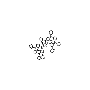 c1ccc(-c2cc3c4c(c2)N(c2ccccc2)c2cccc5c2N4c2c(ccc4c2B3c2sc3c6c2N4c2ccccc2N6c2ccc4c6c2B3c2ccc(-c3ccccc3)c3c2N6c2c(cccc2N3c2ccccc2)N4c2ccccc2)N5c2ccccc2)cc1